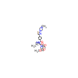 CO[C@H]1CN(C(=O)[C@H](CC(C)C)NC(=O)c2ccc(-c3csc(N4CCN(C)CC4)n3)cc2)[C@@H]2C(=O)CO[C@H]12